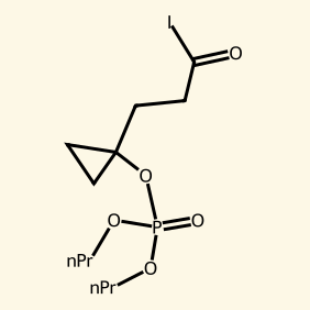 CCCOP(=O)(OCCC)OC1(CCC(=O)I)CC1